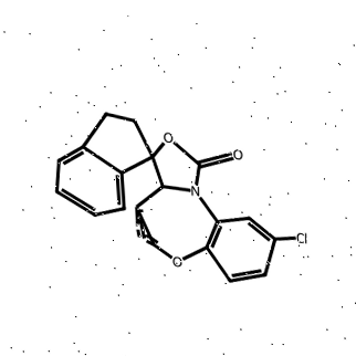 O=C1OC2(CCc3ccccc32)C2c3ccccc3Oc3ccc(Cl)cc3N12